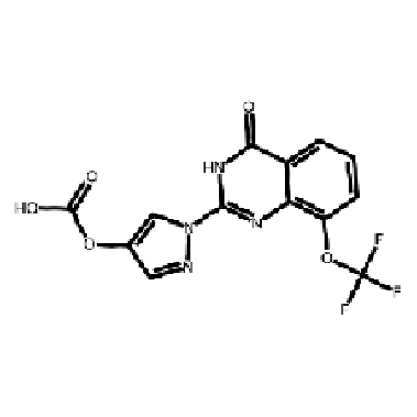 O=C(O)Oc1cnn(-c2nc3c(OC(F)(F)F)cccc3c(=O)[nH]2)c1